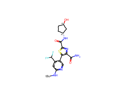 CC(C)(C)Nc1cc(C(F)F)c(-c2sc(C(=O)N[C@@H]3CC[C@@H](O)C3)nc2C(N)=O)cn1